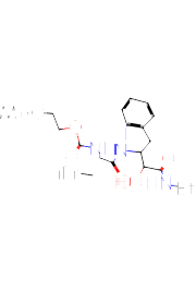 CCNC(=O)C(O)C(Cc1ccccc1)NC(=O)[C@H](CC(C)C)NC(=O)OCCOC